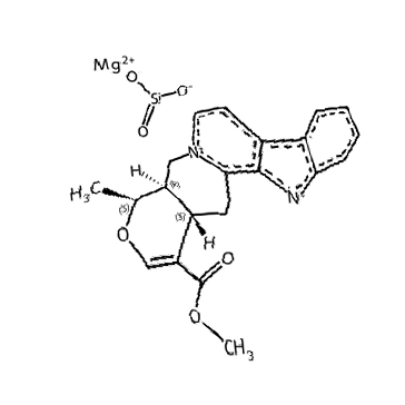 COC(=O)C1=CO[C@@H](C)[C@H]2C[n+]3ccc4c([n-]c5ccccc54)c3C[C@H]12.O=[Si]([O-])[O-].[Mg+2]